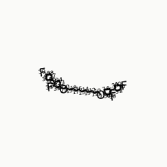 Fc1ccc(-c2ccc(OCCCCCCCCCCCOc3ccc(-c4ccc(F)cc4)c(F)c3)cc2F)cc1